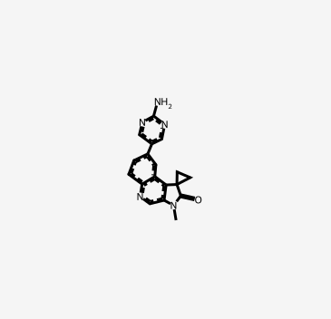 CN1C(=O)C2(CC2)c2c1cnc1ccc(-c3cnc(N)nc3)cc21